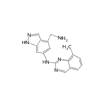 Cc1cccc2cnc(Nc3cc(CN)c4cn[nH]c4c3)nc12